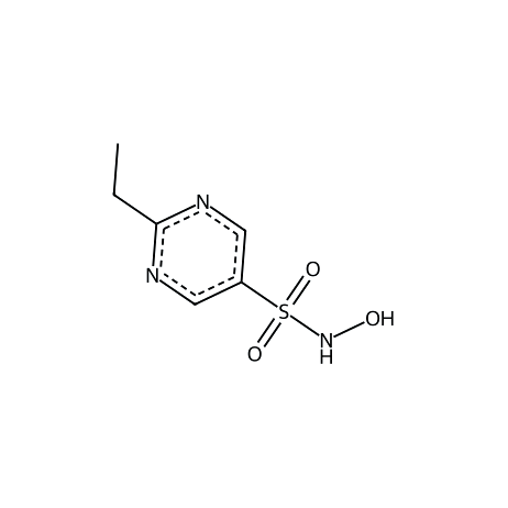 CCc1ncc(S(=O)(=O)NO)cn1